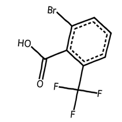 O=C(O)c1c(Br)cccc1C(F)(F)F